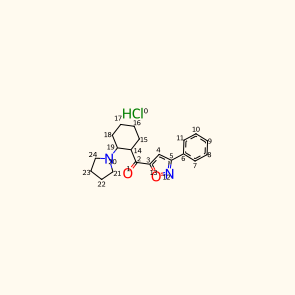 Cl.O=C(c1cc(-c2ccccc2)no1)C1CCCCC1N1CCCC1